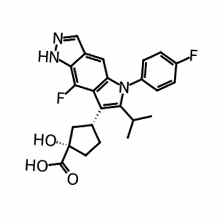 CC(C)c1c([C@@H]2CC[C@@](O)(C(=O)O)C2)c2c(F)c3[nH]ncc3cc2n1-c1ccc(F)cc1